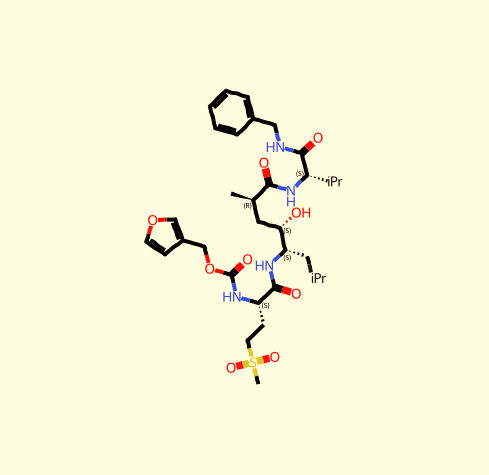 CC(C)C[C@H](NC(=O)[C@H](CCS(C)(=O)=O)NC(=O)OCc1ccoc1)[C@@H](O)C[C@@H](C)C(=O)N[C@H](C(=O)NCc1ccccc1)C(C)C